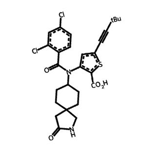 CC(C)(C)C#Cc1cc(N(C(=O)c2ccc(Cl)cc2Cl)C2CCC3(CC2)CNC(=O)C3)c(C(=O)O)s1